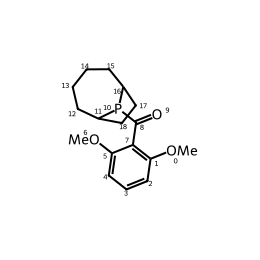 COc1cccc(OC)c1C(=O)P1C2CCCCC1CC2